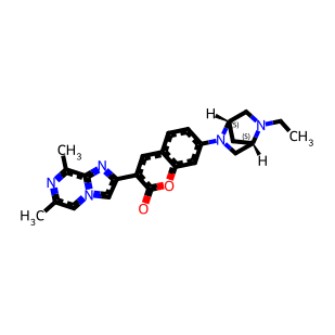 CCN1C[C@@H]2C[C@H]1CN2c1ccc2cc(-c3cn4cc(C)nc(C)c4n3)c(=O)oc2c1